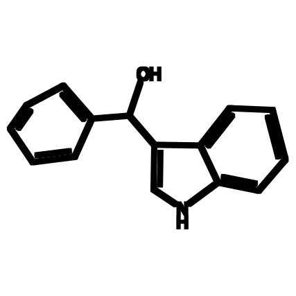 OC(c1ccccc1)c1c[nH]c2ccccc12